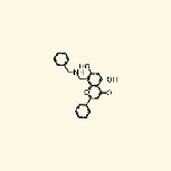 O=c1cc(-c2ccccc2)oc2c(CNCc3ccccc3)c(O)cc(O)c12